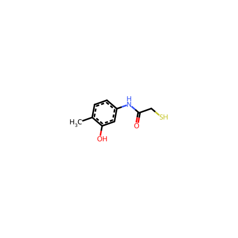 Cc1ccc(NC(=O)CS)cc1O